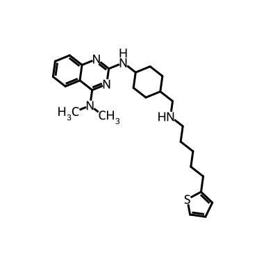 CN(C)c1nc(NC2CCC(CNCCCCCc3cccs3)CC2)nc2ccccc12